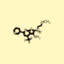 COCC[S@@+]([O-])c1sc2nc(-c3cccnc3)cc(C(F)(F)F)c2c1N